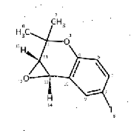 CC1(C)Oc2ccc(I)cc2[C@@H]2O[C@@H]21